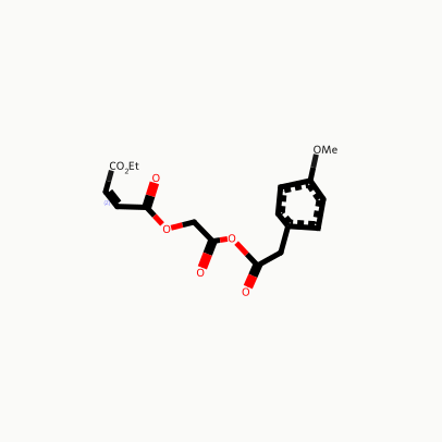 CCOC(=O)/C=C\C(=O)OCC(=O)OC(=O)Cc1ccc(OC)cc1